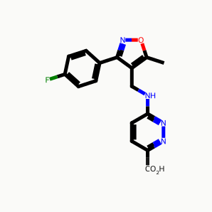 Cc1onc(-c2ccc(F)cc2)c1CNc1ccc(C(=O)O)nn1